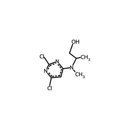 CC(CO)N(C)c1cc(Cl)nc(Cl)n1